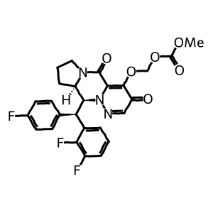 COC(=O)OCOc1c2n(ncc1=O)[C@@H]([C@H](c1ccc(F)cc1)c1cccc(F)c1F)[C@H]1CCCN1C2=O